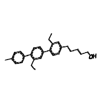 CCc1cc(CCCCCO)ccc1-c1ccc(-c2ccc(C)cc2)c(CC)c1